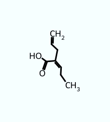 C=CC/C(=C/CC)C(=O)O